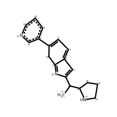 CC(C1=CC2=CC=C(c3cccnc3)CC2=N1)C1CCCN1